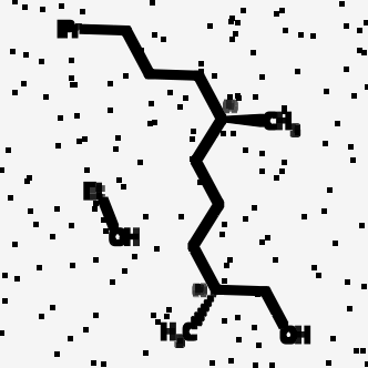 CC(C)CCC[C@@H](C)CCC[C@@H](C)CO.CCO